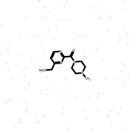 COCc1ccnc(C(=O)N2CCN(C)CC2)n1